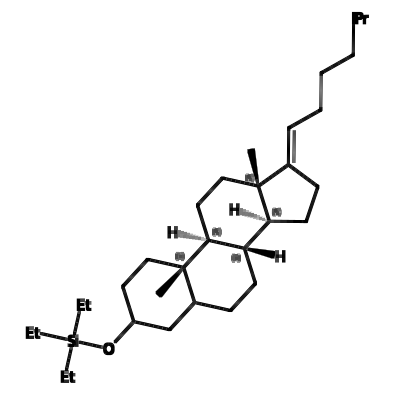 CC[Si](CC)(CC)OC1CC[C@@]2(C)C(CC[C@@H]3[C@@H]2CC[C@]2(C)C(=CCCCC(C)C)CC[C@@H]32)C1